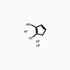 CCCCC1=[C]([Hf])CC=C1.F.F.F